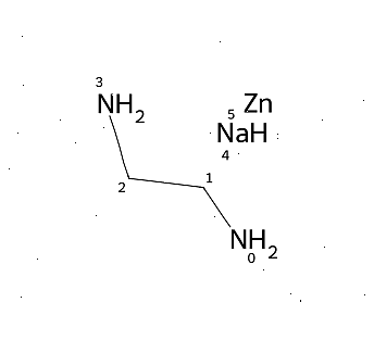 NCCN.[NaH].[Zn]